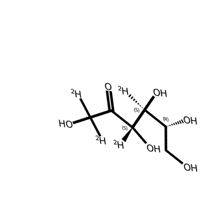 [2H]C([2H])(O)C(=O)[C@@]([2H])(O)[C@@]([2H])(O)[C@H](O)CO